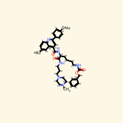 CCCCc1ccc2nc(-c3ccc(OC)cc3)cc(C(=O)NC(CCCCNC(=O)OCc3ccccc3)C(=O)NCCCN3CCN(C)CC3)c2c1